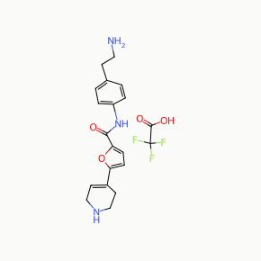 NCCc1ccc(NC(=O)c2ccc(C3=CCNCC3)o2)cc1.O=C(O)C(F)(F)F